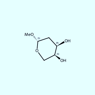 CO[C@@H]1C[C@@H](O)[C@@H](O)CO1